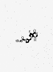 CC(C)(C)OC(=O)N1CCC(Cn2cc(F)c3c2NCN=C3Cl)C1